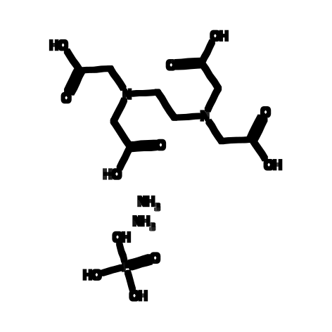 N.N.O=C(O)CN(CCN(CC(=O)O)CC(=O)O)CC(=O)O.O=P(O)(O)O